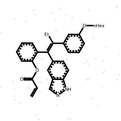 C=CC(=O)Oc1ccccc1/C(=C(\CC)c1cccc(OCCCCCC)c1)c1ccc2[nH]ncc2c1